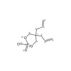 C=CCC1(CC=C)COP(=S)(Cl)OC1